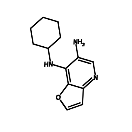 Nc1cnc2ccoc2c1NC1CCCCC1